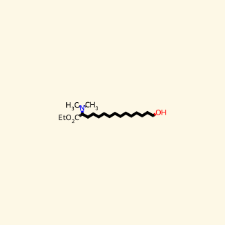 CCOC(=O)C(CCCCCCCCCCCCCO)N(C)C